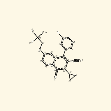 N#Cc1c(-c2cccc(F)c2)c2cc(OCC(F)(F)F)ccc2c(=O)n1C1CC1